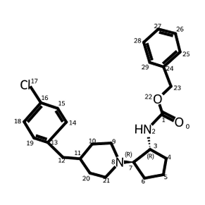 O=C(N[C@@H]1CCC[C@H]1N1CCC(Cc2ccc(Cl)cc2)CC1)OCc1ccccc1